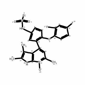 CCS(=O)(=O)Nc1ccc(Oc2ccc(F)cc2F)c(-c2cc(C)[n+]([O-])c3[nH]c(C)c(C)c23)c1